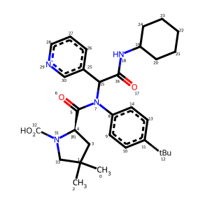 CC1(C)C[C@H](C(=O)N(c2ccc(C(C)(C)C)cc2)C(C(=O)NC2CCCCC2)c2cccnc2)N(C(=O)O)C1